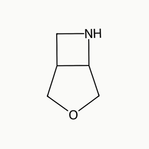 C1NC2COCC12